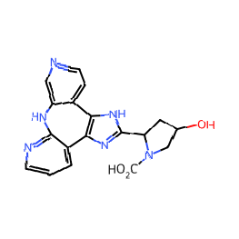 O=C(O)N1CC(O)CC1c1nc2c([nH]1)-c1ccncc1Nc1ncccc1-2